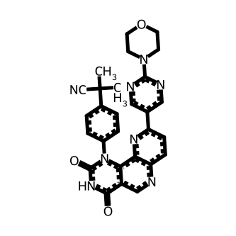 CC(C)(C#N)c1ccc(-n2c(=O)[nH]c(=O)c3cnc4ccc(-c5cnc(N6CCOCC6)nc5)nc4c32)cc1